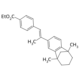 CCOC(=O)c1ccc(/C=C(\C)c2ccc3c(c2)C2(C)CCCC3(C)C2)cc1